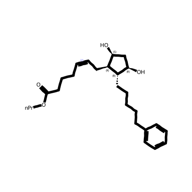 CCCOC(=O)CCC/C=C\C[C@@H]1[C@@H](CCCCCc2ccccc2)[C@H](O)C[C@@H]1O